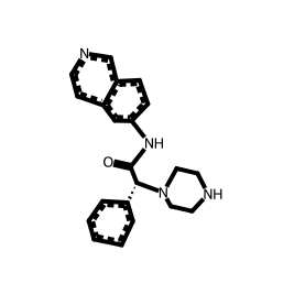 O=C(Nc1ccc2cnccc2c1)[C@@H](c1ccccc1)N1CCNCC1